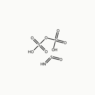 N=S=O.O=S(=O)(O)OS(=O)(=O)O